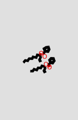 C=CCC(CCCCCCC)OC(=O)c1ccccc1.C=CCC(CCCCCCCC)OC(=O)c1ccccc1